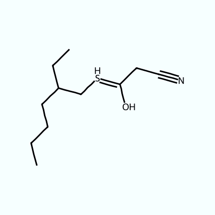 CCCCC(CC)C[SH]=C(O)CC#N